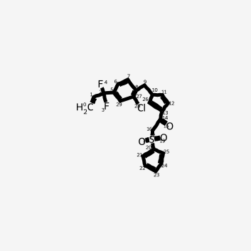 C=CC(F)(F)c1ccc(CC2C=CC(C(=O)CS(=O)(=O)c3ccccc3)=C2)c(Cl)c1